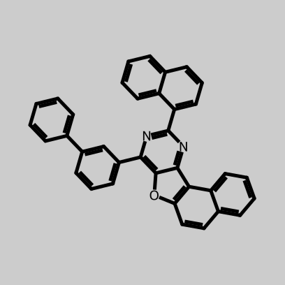 c1ccc(-c2cccc(-c3nc(-c4cccc5ccccc45)nc4c3oc3ccc5ccccc5c34)c2)cc1